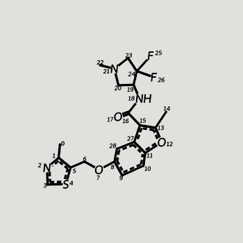 Cc1ncsc1COc1ccc2oc(C)c(C(=O)NC3CN(C)CC3(F)F)c2c1